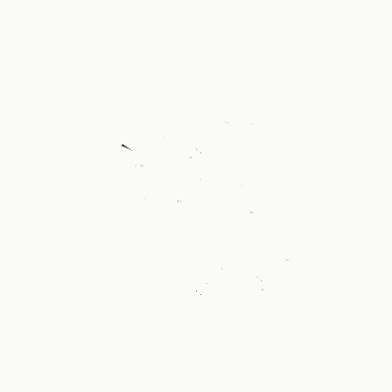 C[C@H]1CC[C@@H]([C@@H](O)C(F)(F)F)N1c1ccc2c(C#N)nccc2c1